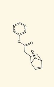 O=C(CC1CC2C=CC1C2=O)Oc1ccccc1